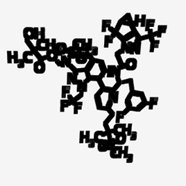 CC(C)(CO)C(=O)OCN(c1nn(CC(F)(F)F)c2c(-c3ccc(CCC(C)(C)S(C)(=O)=O)nc3[C@H](Cc3cc(F)cc(F)c3)NC(=O)Cn3nc(C(F)(F)F)c4c3C(F)(F)C3C[C@H]43)ccc(Cl)c12)S(C)(=O)=O